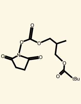 CC(COC(=O)ON1C(=O)CCC1=O)COC(=O)C(C)(C)C